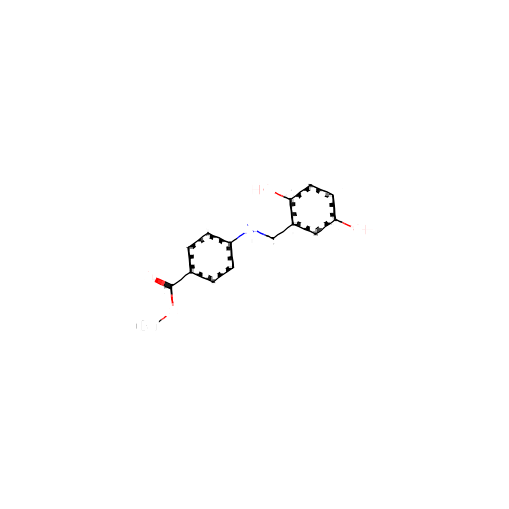 CC(C)(C)OC(=O)c1ccc(NCc2cc(O)ccc2O)cc1